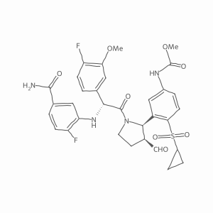 COC(=O)Nc1ccc(S(=O)(=O)C2CC2)c([C@H]2[C@@H](C=O)CCN2C(=O)[C@H](Nc2cc(C(N)=O)ccc2F)c2ccc(F)c(OC)c2)c1